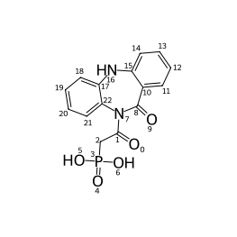 O=C(CP(=O)(O)O)N1C(=O)c2ccccc2Nc2ccccc21